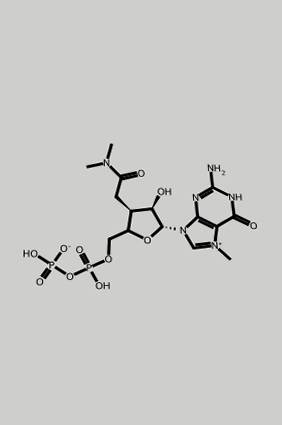 CN(C)C(=O)C[C@@H]1C(COP(=O)(O)OP(=O)([O-])O)O[C@@H](n2c[n+](C)c3c(=O)[nH]c(N)nc32)[C@@H]1O